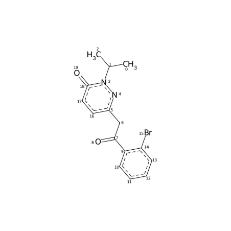 CC(C)n1nc(CC(=O)c2ccccc2Br)ccc1=O